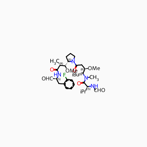 CC[C@H](C)[C@@H]([C@@H](CC(=O)N1CCC[C@H]1C(OC)[C@@H](C)C(=O)N[C@H](C=O)Cc1ccccc1F)OC)N(C)C(=O)[C@@H](NC=O)C(C)C